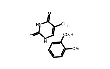 CC(=O)Oc1ccccc1C(=O)O.Cc1c[nH]c(=O)[nH]c1=O